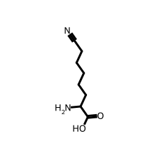 N#CCCCCCC(N)C(=O)O